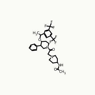 CC(=O)NC1CCN(CC(=O)N2CCC(OC(C)c3cc(C(F)(F)F)cc(C(F)(F)F)c3)C(c3ccccc3)C2)CC1